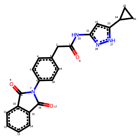 O=C(Cc1ccc(N2C(=O)c3ccccc3C2=O)cc1)Nc1cc(C2CC2)[nH]n1